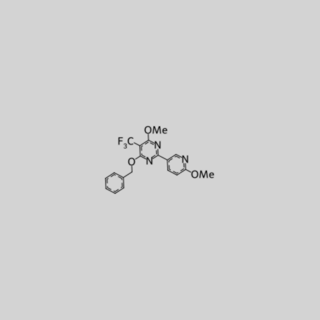 COc1ccc(-c2nc(OC)c(C(F)(F)F)c(OCc3ccccc3)n2)cn1